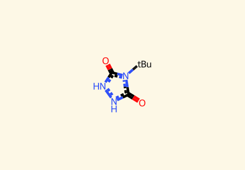 CC(C)(C)n1c(=O)[nH][nH]c1=O